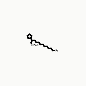 CNCC(CCCCCCCCCCC(C)C)C1CCCC1